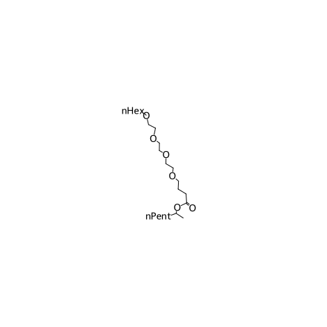 CCCCCCOCCOCCOCCOCCCC(=O)OC(C)CCCCC